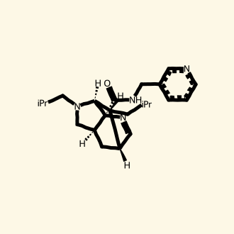 CC(C)C[C@@H]1[C@@H]2C=N[C@@]3(C(=O)NCc4cccnc4)[C@@H](C2)CN(CC(C)C)[C@@H]13